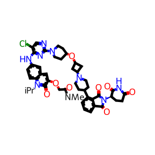 CNC(=O)COc1cc2cc(Nc3nc(N4CCC(OC5CC(N6CCC(c7cccc8c7C(=O)N([C@@H]7CCC(=O)NC7=O)C8=O)CC6)C5)CC4)ncc3Cl)ccc2n(C(C)C)c1=O